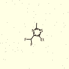 CCc1sc(C)nc1C(F)F